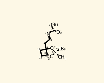 CC(C)(C)[S+]([O-])N=CCC1(O[Si](C)(C)C(C)(C)C)CCC1